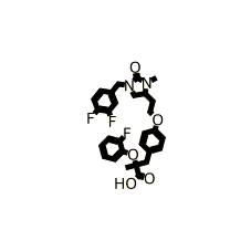 CN1C(=O)N(Cc2ccc(F)c(F)c2)CC1CCOc1ccc(CC(C)(Oc2ccccc2F)C(=O)O)cc1